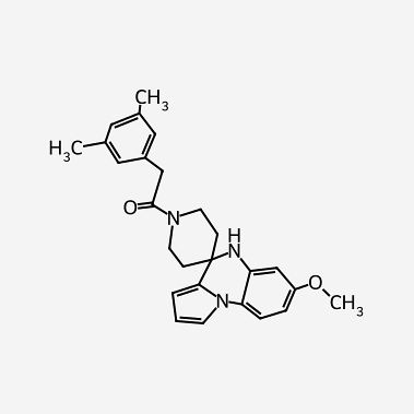 COc1ccc2c(c1)NC1(CCN(C(=O)Cc3cc(C)cc(C)c3)CC1)c1cccn1-2